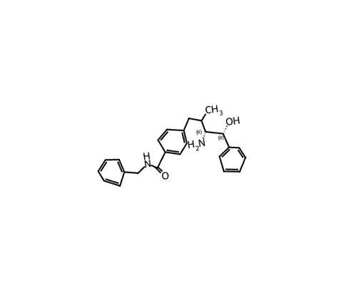 CC(Cc1ccc(C(=O)NCc2ccccc2)cc1)[C@@H](N)[C@H](O)c1ccccc1